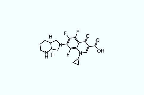 O=C(O)c1cn(C2CC2)c2c(F)c(N3C[C@@H]4CCCN[C@@H]4C3)c(F)c(F)c2c1=O